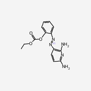 CCOC(=O)Oc1ccccc1/N=N/c1ccc(N)nc1N